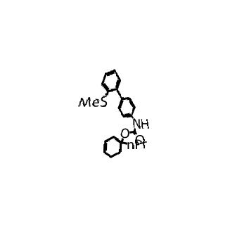 CCCC1(OC(=O)Nc2ccc(-c3ccccc3SC)cc2)CC=CCC1